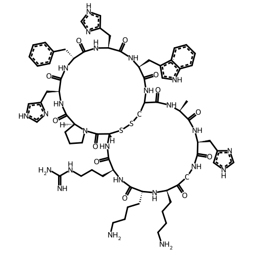 C[C@@H]1NC(=O)C2CSS[C@H](NC(=O)[C@H](CCCNC(=N)N)NC(=O)[C@@H](CCCCN)N[C@H](CCCCN)C(=O)CNC(=O)[C@H](Cc3c[nH]cn3)NC1=O)C(=O)N1CCC[C@H]1C(=O)N[C@@H](Cc1c[nH]cn1)C(=O)N[C@H](Cc1ccccc1)C(=O)N[C@@H](Cc1c[nH]cn1)C(=O)N[C@@H](Cc1c[nH]c3ccccc13)C(=O)N2